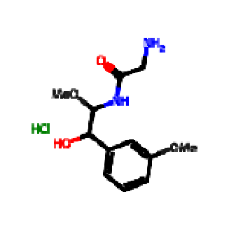 COc1cccc(C(O)C(NC(=O)CN)OC)c1.Cl